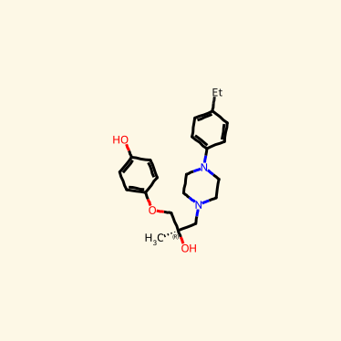 CCc1ccc(N2CCN(C[C@@](C)(O)COc3ccc(O)cc3)CC2)cc1